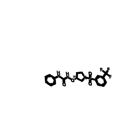 O=C(NO[C@@H]1CCN(S(=O)(=O)c2cccc(C(F)(F)F)c2)C1)Nc1ccccc1